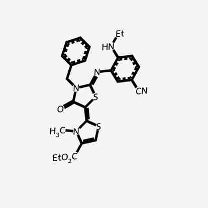 CCNc1ccc(C#N)cc1N=C1SC(=C2SC=C(C(=O)OCC)N2C)C(=O)N1Cc1ccccc1